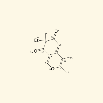 CCC1(C)C(=O)C=C2C(=COC(C)=C2C)C1=O